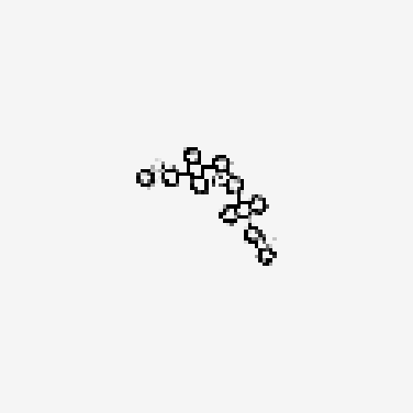 c1ccc2c(c1)oc1cc(-c3c4ccccc4c(-c4ccc5c(c4)oc4c(-c6c7ccccc7c(-c7ccc8c(c7)oc7ccccc78)c7ccccc67)cccc45)c4ccccc34)ccc12